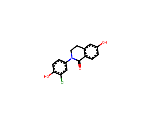 O=C1c2ccc(O)cc2CCN1c1ccc(O)c(Cl)c1